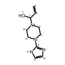 C=CC(O)N1CCN(C2=NC=C[N]2)CC1